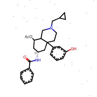 CC(=O)OC1C[C@@H](NC(=O)c2ccccc2)CC2(c3cccc(O)c3)CCN(CC3CC3)CC12